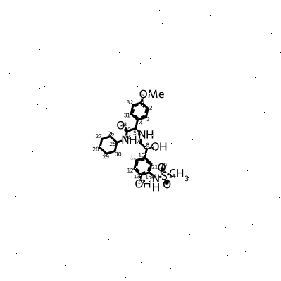 COc1ccc([C@@H](NC[C@@H](O)c2ccc(O)c(NS(C)(=O)=O)c2)C(=O)NC2CCCCC2)cc1